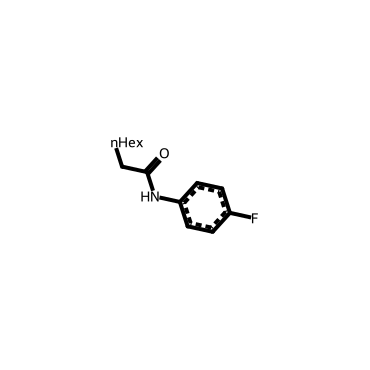 CCCCCCCC(=O)Nc1ccc(F)cc1